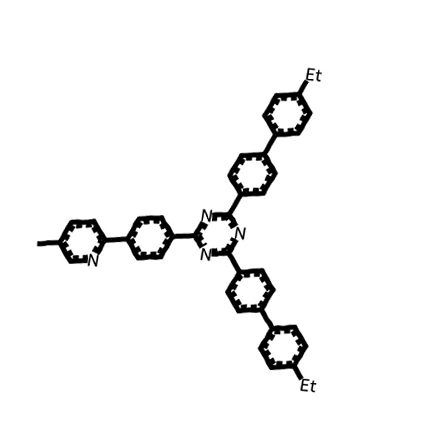 CCc1ccc(-c2ccc(-c3nc(-c4ccc(-c5ccc(CC)cc5)cc4)nc(-c4ccc(-c5ccc(C)cn5)cc4)n3)cc2)cc1